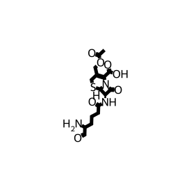 CC(=O)OCC1=C(C(=O)O)N2C(=O)[C@@H](NC(=O)CCCC(N)C=O)[C@H]2SC1